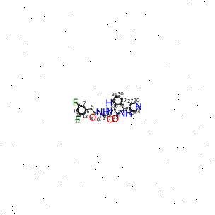 C[C@H](NC(=O)Cc1cc(F)cc(F)c1)C(=O)NC1C(=O)NC(c2ccncc2)c2ccccc21